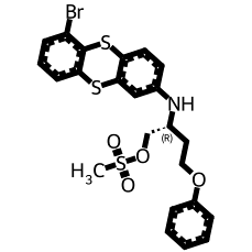 CS(=O)(=O)OC[C@@H](CCOc1ccccc1)Nc1ccc2c(c1)Sc1cccc(Br)c1S2